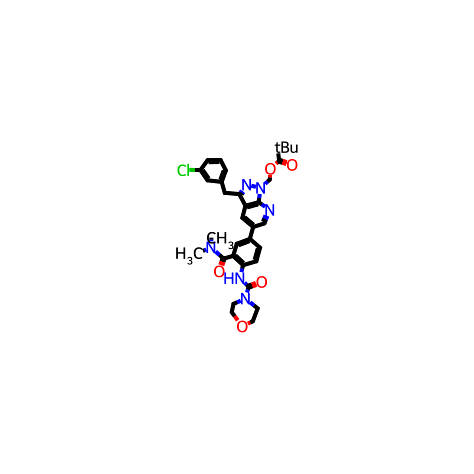 CN(C)C(=O)c1cc(-c2cnc3c(c2)c(Cc2cccc(Cl)c2)nn3COC(=O)C(C)(C)C)ccc1NC(=O)N1CCOCC1